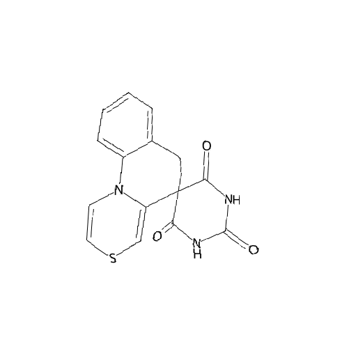 O=C1NC(=O)C2(Cc3ccccc3N3C=CSC=C32)C(=O)N1